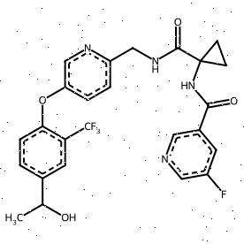 CC(O)c1ccc(Oc2ccc(CNC(=O)C3(NC(=O)c4cncc(F)c4)CC3)nc2)c(C(F)(F)F)c1